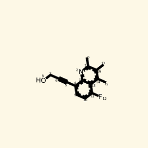 Cc1nc2c(C#CCO)ccc(F)c2c(C)c1C